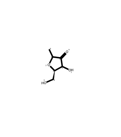 CC1O[C@H](CO)C(O)C1=O